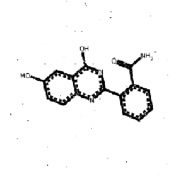 NC(=O)c1ccccc1-c1nc(O)c2cc(O)ccc2n1